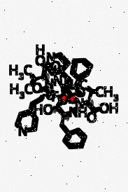 CC(C)[C@@H](C(=O)O)N(N[C@@H](Cc1ccccc1)[C@@H](O)C(F)(F)[C@H](Cc1ccccc1)NN([C@H](C(=O)O)C(C)C)S(=O)(=O)CCc1ccncc1)S(=O)(=O)CCc1ccncc1